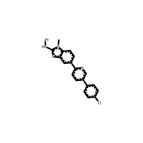 CC(C)Nc1nc2cc(-c3ccc(-c4ccc(Cl)cc4)cn3)ccc2n1C